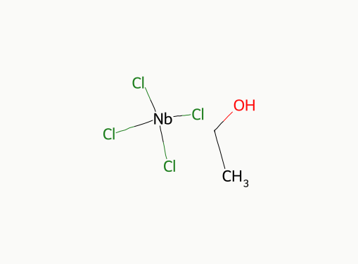 CCO.[Cl][Nb]([Cl])([Cl])[Cl]